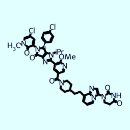 COc1ncc(C(=O)N2CCC(CCc3cccn4c(N5CCC(=O)NC5=O)cnc34)CC2)cc1-c1nc2c(n1C(C)C)[C@H](c1ccc(Cl)cc1)N(c1cc(Cl)cn(C)c1=O)C2=O